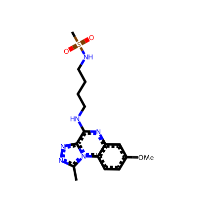 COc1ccc2c(c1)nc(NCCCCNS(C)(=O)=O)c1nnc(C)n12